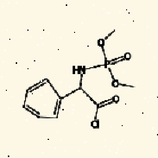 COP(=O)(NC(C(=O)Cl)c1ccccc1)OC